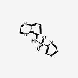 O=S(=O)(Nc1cccc2nccnc12)c1ccccn1